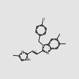 Cc1c[nH]c(/C=C/c2nc3cc(C)c(C)cc3n2Cc2ccc(Cl)cc2)n1